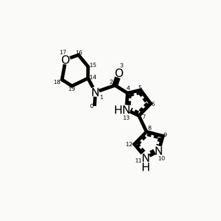 CN(C(=O)c1ccc(-c2cn[nH]c2)[nH]1)C1CCOCC1